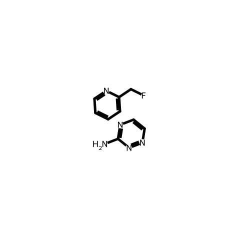 FCc1ccccn1.Nc1nccnn1